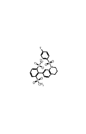 CS(=O)(=O)c1cccc(S(N)(=O)=O)c1-c1ccc2c(c1)N(S(=O)(=O)c1ccc(F)cc1)CCC2